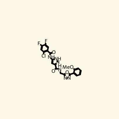 COc1ccccc1-c1nnc(CNC(=O)c2cc(NC(=O)c3cc(F)c(F)cc3Cl)[nH]n2)o1